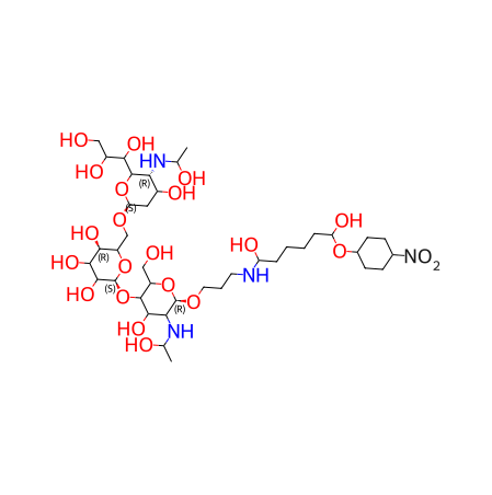 CC(O)NC1C(O)C(O[C@@H]2OC(CO[C@@H]3CC(O)[C@@H](NC(C)O)C(C(O)C(O)CO)O3)[C@H](O)C(O)C2O)C(CO)O[C@H]1OCCCNC(O)CCCCC(O)OC1CCC([N+](=O)[O-])CC1